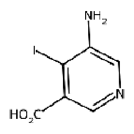 Nc1cncc(C(=O)O)c1I